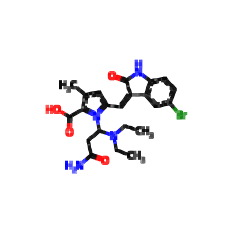 CCN(CC)C(CC(N)=O)n1c(C=C2C(=O)Nc3ccc(Br)cc32)cc(C)c1C(=O)O